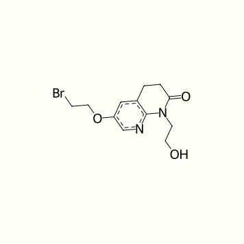 O=C1CCc2cc(OCCBr)cnc2N1CCO